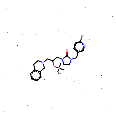 CC(C)(C)[Si](C)(C)OC(CN1CCc2ccccc2C1)CN1CCN(Cc2ccc(Br)nc2)C1=O